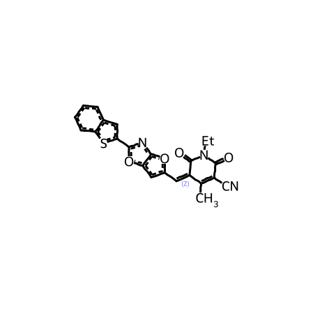 CCN1C(=O)C(C#N)=C(C)/C(=C/c2cc3oc(-c4cc5ccccc5s4)nc3o2)C1=O